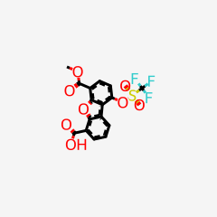 COC(=O)c1ccc(OS(=O)(=O)C(F)(F)F)c2c1oc1c(C(=O)O)cccc12